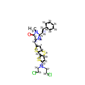 CN1C(=O)/C(=C/c2cc3sc4cc(N(CCCl)CCCl)sc4c3s2)N=C1/C=C/c1ccccc1